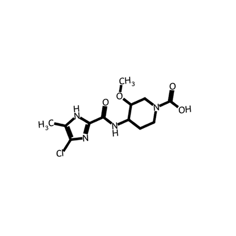 COC1CN(C(=O)O)CCC1NC(=O)c1nc(Cl)c(C)[nH]1